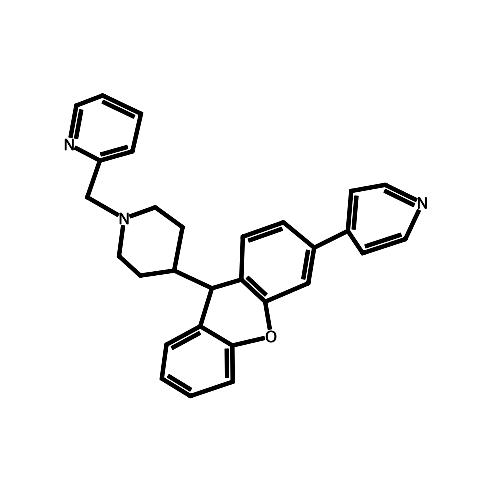 c1ccc(CN2CCC(C3c4ccccc4Oc4cc(-c5ccncc5)ccc43)CC2)nc1